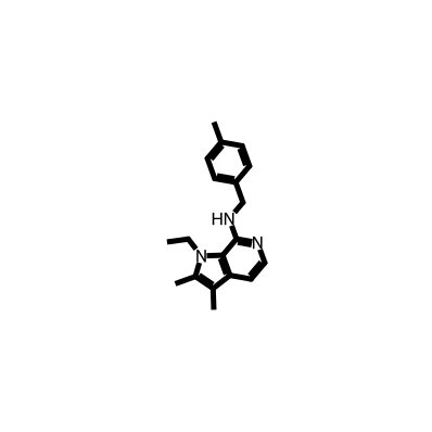 CCn1c(C)c(C)c2ccnc(NCc3ccc(C)cc3)c21